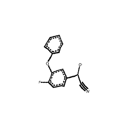 N#CC([O])c1ccc(F)c(Oc2ccccc2)c1